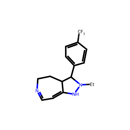 CCN1NC2=CC=NCCC2C1c1ccc(C(F)(F)F)cc1